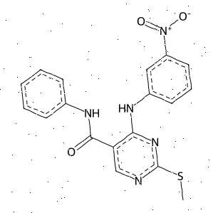 CSc1ncc(C(=O)Nc2ccccc2)c(Nc2cccc([N+](=O)[O-])c2)n1